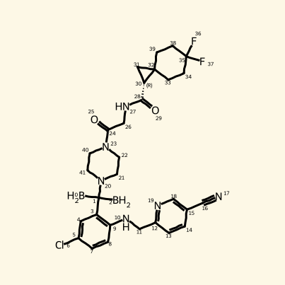 BC(B)(c1cc(Cl)ccc1NCc1ccc(C#N)cn1)N1CCN(C(=O)CNC(=O)[C@@H]2CC23CCC(F)(F)CC3)CC1